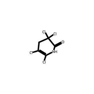 O=C1NC(Cl)=C(Cl)CC1(Cl)Cl